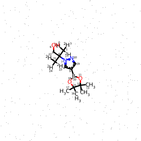 [2H]C([2H])([2H])C(CO)(n1cc(B2OC(C)(C)C(C)(C)O2)cn1)C([2H])([2H])[2H]